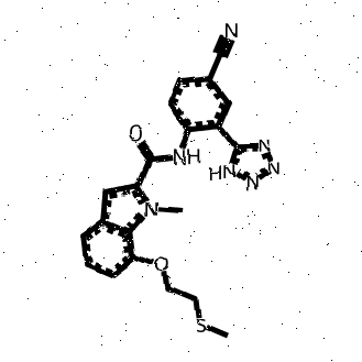 CSCCOc1cccc2cc(C(=O)Nc3ccc(C#N)cc3-c3nnn[nH]3)n(C)c12